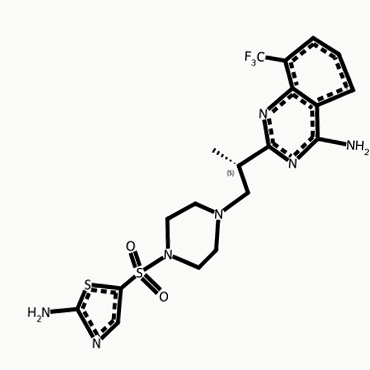 C[C@@H](CN1CCN(S(=O)(=O)c2cnc(N)s2)CC1)c1nc(N)c2cccc(C(F)(F)F)c2n1